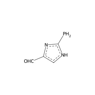 O=Cc1c[nH]c(P)n1